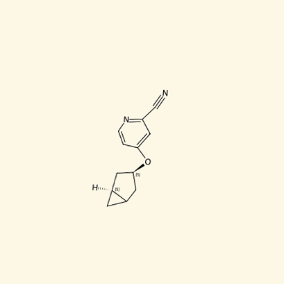 N#Cc1cc(O[C@H]2CC3C[C@H]3C2)ccn1